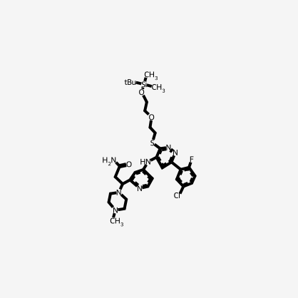 CN1CCN(C(CC(N)=O)c2cc(Nc3cc(-c4cc(Cl)ccc4F)nnc3SCCOCCO[Si](C)(C)C(C)(C)C)ccn2)CC1